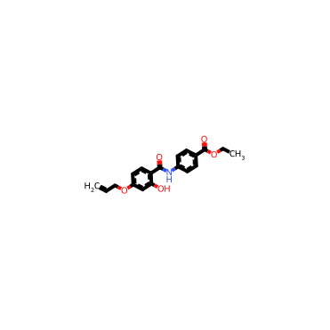 C=CCOc1ccc(C(=O)Nc2ccc(C(=O)OCC)cc2)c(O)c1